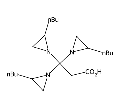 CCCCC1CN1C(CC(=O)O)(N1CC1CCCC)N1CC1CCCC